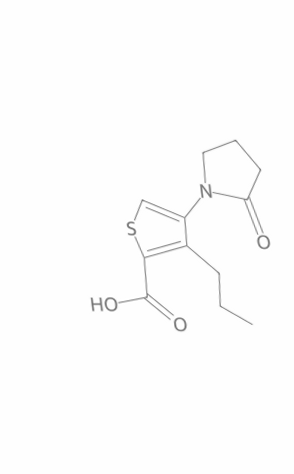 CCCc1c(N2CCCC2=O)csc1C(=O)O